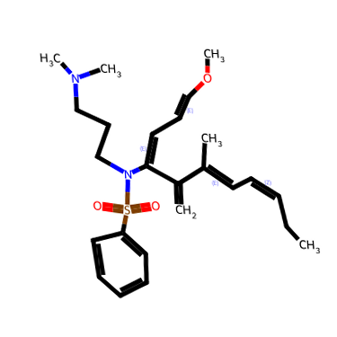 C=C(/C(C)=C/C=C\CC)/C(=C\C=C\OC)N(CCCN(C)C)S(=O)(=O)c1ccccc1